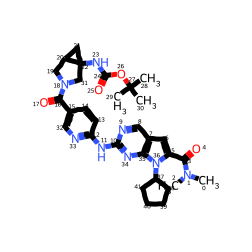 CN(C)C(=O)c1cc2cnc(Nc3ccc(C(=O)N4CC5CC5(NC(=O)OC(C)(C)C)C4)cn3)nc2n1C1CCCC1